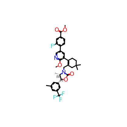 COC(=O)c1ccc(-c2cnc(OC)c(C3=C(CN4C(=O)O[C@H](c5cc(C)cc(C(F)(F)F)c5)[C@@H]4C)CC(C)(C)CC3)c2)c(F)c1